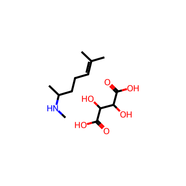 CNC(C)CCC=C(C)C.O=C(O)C(O)C(O)C(=O)O